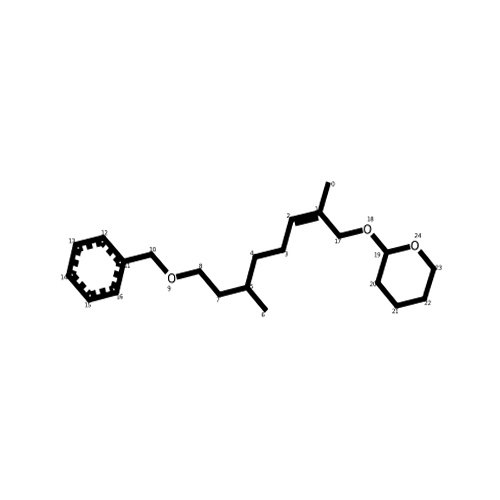 CC(=CCCC(C)CCOCc1ccccc1)COC1CCCCO1